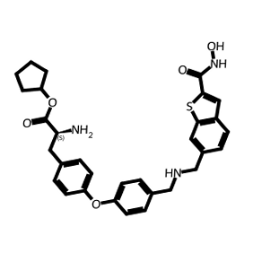 N[C@@H](Cc1ccc(Oc2ccc(CNCc3ccc4cc(C(=O)NO)sc4c3)cc2)cc1)C(=O)OC1CCCC1